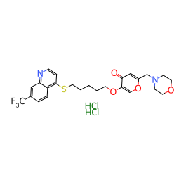 Cl.Cl.O=c1cc(CN2CCOCC2)occ1OCCCCCSc1ccnc2cc(C(F)(F)F)ccc12